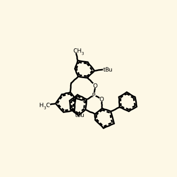 Cc1cc2c(c(C(C)(C)C)c1)OP(Oc1c(-c3ccccc3)cccc1-c1ccccc1)Oc1c(cc(C)cc1C(C)(C)C)C2